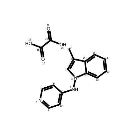 Cc1cn(Nc2ccncc2)c2ccccc12.O=C(O)C(=O)O